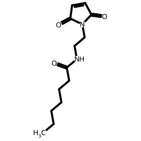 CCCCCCC(=O)NCCN1C(=O)C=CC1=O